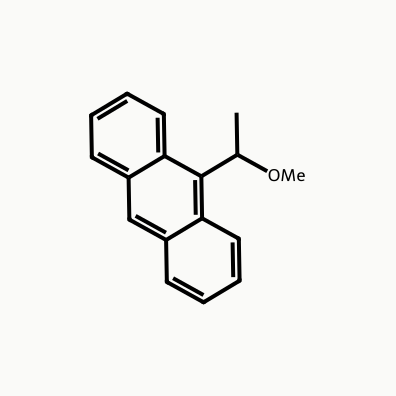 COC(C)c1c2ccccc2cc2ccccc12